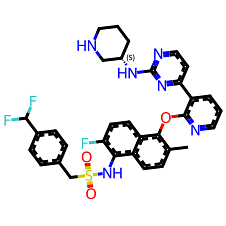 Cc1ccc2c(NS(=O)(=O)Cc3ccc(C(F)F)cc3)c(F)ccc2c1Oc1ncccc1-c1ccnc(N[C@H]2CCCNC2)n1